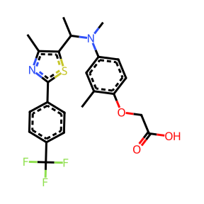 Cc1cc(N(C)C(C)c2sc(-c3ccc(C(F)(F)F)cc3)nc2C)ccc1OCC(=O)O